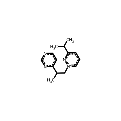 CC(C)c1ccc[n+](CC(C)c2ccncn2)n1